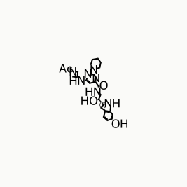 CC(=O)N1CC(Nc2cc(C(=O)NCC(O)[C@@H]3Cc4ccc(O)cc4CN3)nc(N3CCCCC3)n2)C1